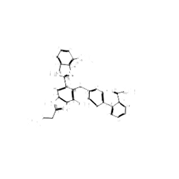 CCCc1nc2c(C)c(Cc3ccc(-c4ccccc4C(=O)O)cc3)c(-c3nc4c(C)cccc4[nH]3)cc2[nH]1